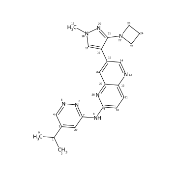 CC(C)c1cnnc(Nc2ccc3ncc(-c4cn(C)nc4N4CCC4)cc3n2)c1